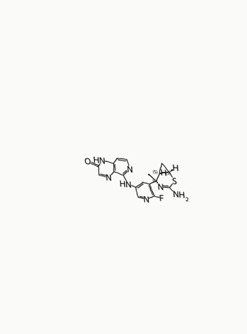 C[C@]1(c2cc(Nc3nccc4[nH]c(=O)cnc34)cnc2F)N=C(N)S[C@H]2C[C@H]21